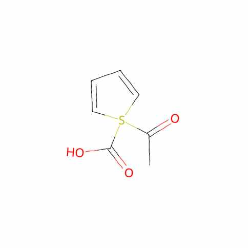 CC(=O)S1(C(=O)O)C=CC=C1